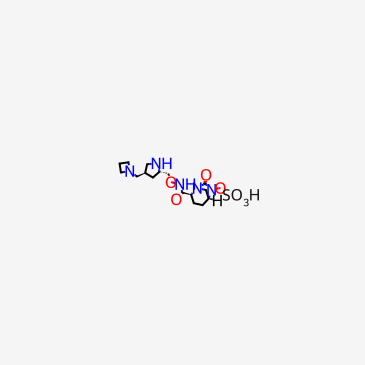 O=C(NOC[C@@H]1C[C@@H](CN2CCC2)CN1)[C@@H]1CC[C@@H]2CN1C(=O)N2OS(=O)(=O)O